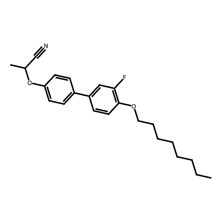 CCCCCCCCOc1ccc(-c2ccc(OC(C)C#N)cc2)cc1F